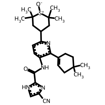 CC1(C)CC=C(c2nc(C3CC(C)(C)[S+]([O-])C(C)(C)C3)ccc2NC(=O)c2nc(C#N)c[nH]2)CC1